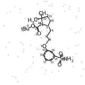 CC(C)(C)OC(=O)N1[C@H](CCCOc2cccc(S(N)(=O)=O)c2)CCC1(C)C